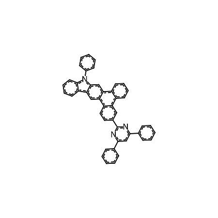 c1ccc(-c2cc(-c3ccccc3)nc(-c3ccc4c(c3)c3ccccc3c3cc5c(cc43)c3ccccc3n5-c3ccccc3)n2)cc1